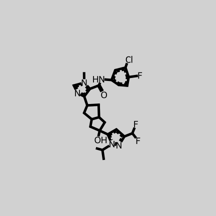 CC(C)n1nc(C(F)F)cc1C1(O)CC2CC(c3ncn(C)c3C(=O)Nc3ccc(F)c(Cl)c3)CC2C1